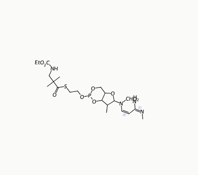 CCOC(=O)NCC(C)(C)C(=O)SCCOP1OCC2OC(N(C=O)/C=C\C(N)=N/C)C(C)C2O1